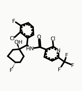 O=C(NC(c1cccc(F)c1Cl)[C@]1(O)CC[C@H](F)CC1)c1ccc(C(F)(F)F)nc1Cl